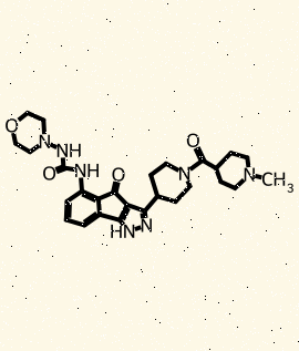 CN1CCC(C(=O)N2CCC(c3n[nH]c4c3C(=O)c3c(NC(=O)NN5CCOCC5)cccc3-4)CC2)CC1